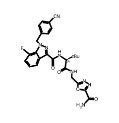 CC(C)(C)[C@H](NC(=O)c1nn(Cc2ccc(C#N)cc2)c2c(F)cccc12)C(=O)NCc1nnc(C(N)=O)o1